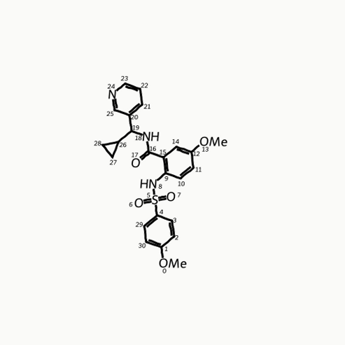 COc1ccc(S(=O)(=O)Nc2ccc(OC)cc2C(=O)NC(c2cccnc2)C2CC2)cc1